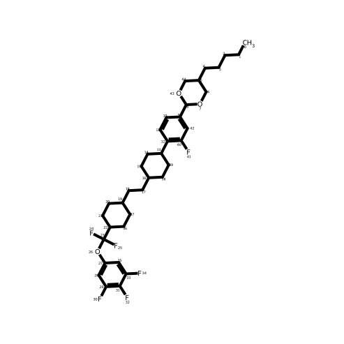 CCCCCC1COC(c2ccc(C3CCC(CCC4CCC(C(F)(F)Oc5cc(F)c(F)c(F)c5)CC4)CC3)c(F)c2)OC1